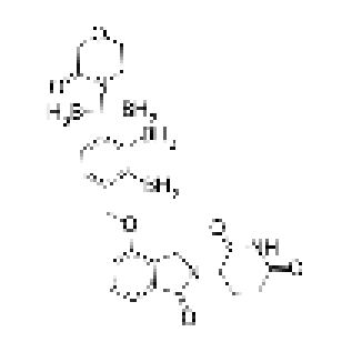 Bc1c(COc2cccc3c2CN(C2CCC(=O)NC2=O)C3=O)ccc(C(B)(B)N2CCOCC2=O)c1B